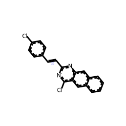 Clc1ccc(/C=C/c2nc(Cl)c3cc4ccccc4cc3n2)cc1